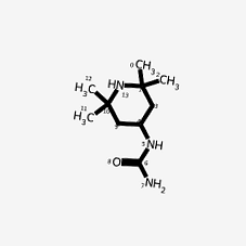 CC1(C)CC(NC(N)=O)CC(C)(C)N1